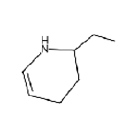 CCC1CCC=CN1